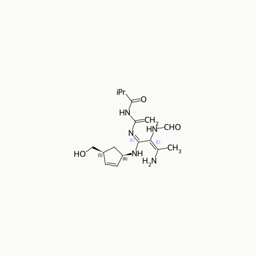 C=C(/N=C(N[C@H]1C=C[C@@H](CO)C1)\C(NC=O)=C(\C)N)NC(=O)C(C)C